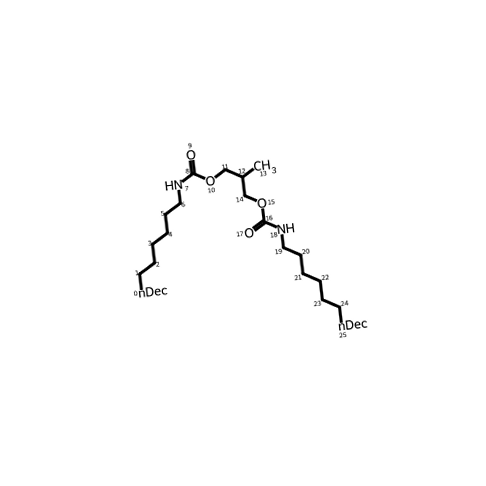 CCCCCCCCCCCCCCCCNC(=O)OCC(C)COC(=O)NCCCCCCCCCCCCCCCC